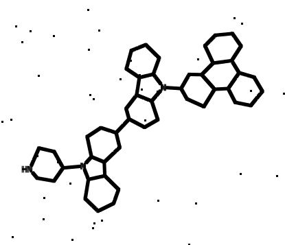 C1CCC2C(C1)C1CCCCC1C1CC(N3C4CCCCC4C4CC(C5CCC6C(C5)C5CCCCC5N6C5CCNCC5)CCC43)CCC21